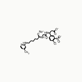 Cc1ccnc(NCCCCCC(=O)NCC(=O)NC(CC(=O)[O-])c2ccc(Cl)c([N+](=O)[O-])c2)c1.[Na+]